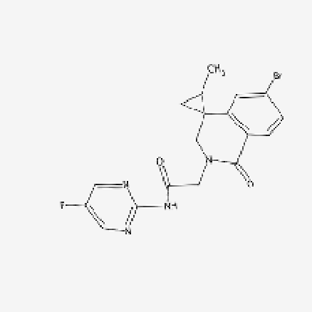 CC1CC12CN(CC(=O)Nc1ncc(F)cn1)C(=O)c1ccc(Br)cc12